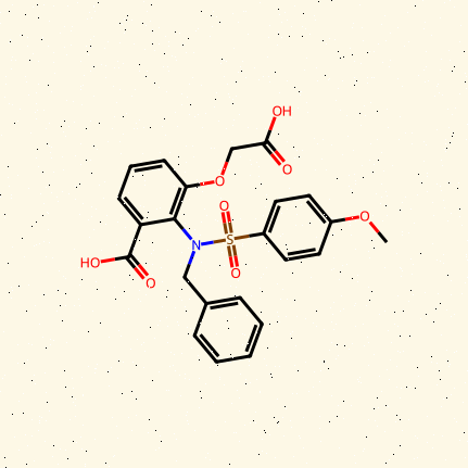 COc1ccc(S(=O)(=O)N(Cc2ccccc2)c2c(OCC(=O)O)cccc2C(=O)O)cc1